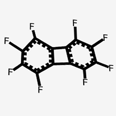 Fc1c(F)c(F)c2c(c1F)-c1c(F)c(F)c(F)c(F)c1-2